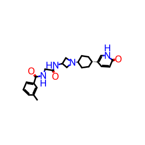 Cc1cccc(C(=O)NCC(=O)NC2CN([C@H]3CC[C@@H](c4ccc(=O)[nH]c4)CC3)C2)c1